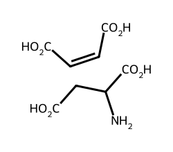 NC(CC(=O)O)C(=O)O.O=C(O)/C=C\C(=O)O